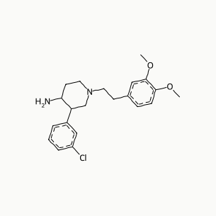 COc1ccc(CCN2CCC(N)C(c3cccc(Cl)c3)C2)cc1OC